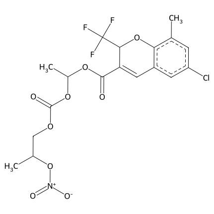 Cc1cc(Cl)cc2c1OC(C(F)(F)F)C(C(=O)OC(C)OC(=O)OCC(C)O[N+](=O)[O-])=C2